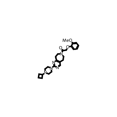 COc1ccccc1OCC(=O)N1CCc2cnc(N3CCN(C4CCC4)CC3)nc2CC1